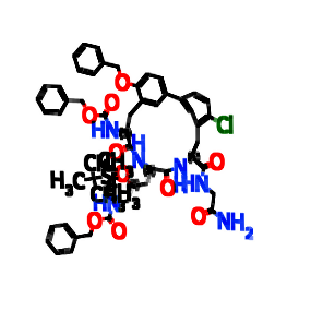 CC(C)(C)[Si](C)(C)O[C@@H](CNC(=O)OCc1ccccc1)C[C@@H]1NC(=O)[C@@H](NC(=O)OCc2ccccc2)Cc2cc(ccc2OCc2ccccc2)-c2ccc(Cl)c(c2)C[C@@H](C(=O)NCC(N)=O)NC1=O